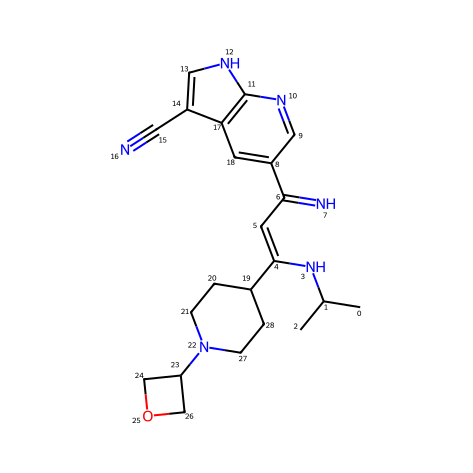 CC(C)N/C(=C\C(=N)c1cnc2[nH]cc(C#N)c2c1)C1CCN(C2COC2)CC1